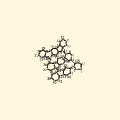 c1ccc(-c2ccc(-n3c4ccccc4c4cc5c6ccccc6n(-c6cccc([Si]7(c8ccccc8)c8ccccc8-c8ccccc87)c6)c5cc43)cc2)cc1